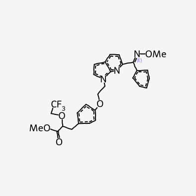 CO/N=C(\c1ccccc1)c1ccc2ccn(CCOc3ccc(CC(OCC(F)(F)F)C(=O)OC)cc3)c2n1